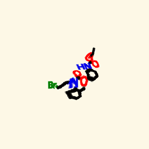 CCOC(=O)Nc1cccc(OC(=O)N(CCBr)c2ccccc2C)c1